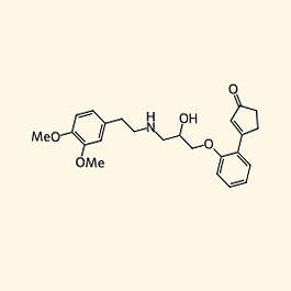 COc1ccc(CCNCC(O)COc2ccccc2C2=CC(=O)CC2)cc1OC